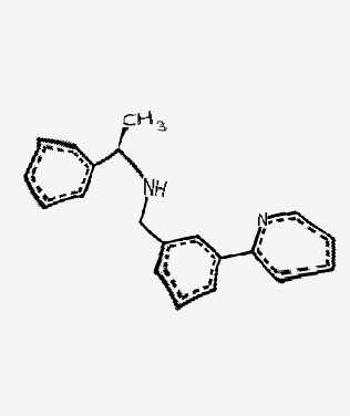 C[C@@H](NCc1cccc(-c2ccccn2)c1)c1ccccc1